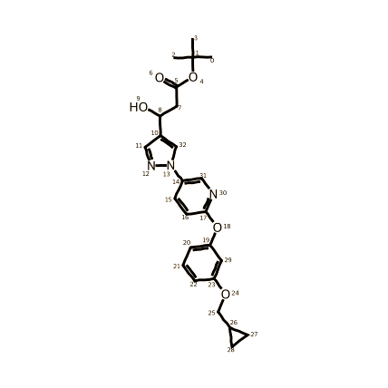 CC(C)(C)OC(=O)CC(O)c1cnn(-c2ccc(Oc3cccc(OCC4CC4)c3)nc2)c1